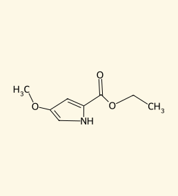 CCOC(=O)c1cc(OC)c[nH]1